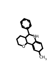 CC1C=C2C(=CC1)NC(c1ccccc1)C1CCCOC21